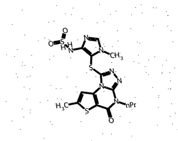 CCCn1c(=O)c2sc(C)cc2n2c(Sc3c(N[SH](=O)=O)ncn3C)nnc12